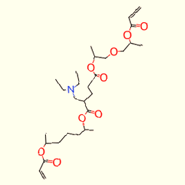 C=CC(=O)OC(C)CCCC(C)OC(=O)C(CCC(=O)OC(C)COCC(C)OC(=O)C=C)CN(CC)CC